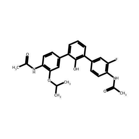 CC(=O)Nc1ccc(-c2cccc(-c3ccc(NC(C)=O)c(OC(C)C)c3)c2O)cc1F